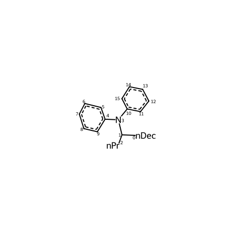 CCCCCCCCCCC(CCC)N(c1ccccc1)c1ccccc1